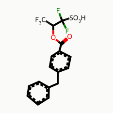 O=C(OC(C(F)(F)F)C(F)(F)S(=O)(=O)O)c1ccc(Cc2ccccc2)cc1